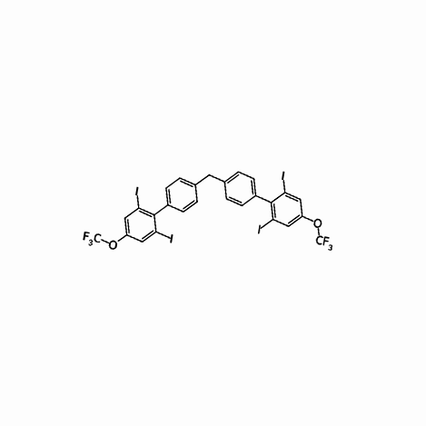 FC(F)(F)Oc1cc(I)c(-c2ccc(Cc3ccc(-c4c(I)cc(OC(F)(F)F)cc4I)cc3)cc2)c(I)c1